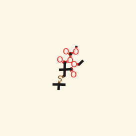 CCOC(=O)C(C)(CSC(C)(C)C)C(=O)OC(=O)OC